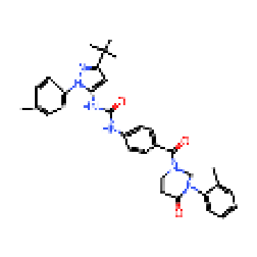 Cc1ccc(-n2nc(C(C)(C)C)cc2NC(=O)Nc2ccc(C(=O)N3CCC(=O)N(c4ccccc4C)C3)cc2)cc1